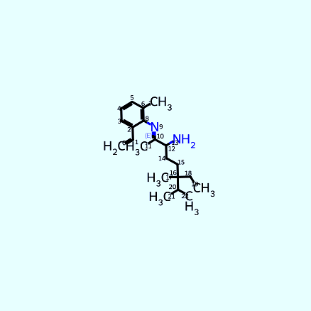 C=Cc1cccc(C)c1/N=C(\C)C(N)CCC(C)(CC)C(C)C